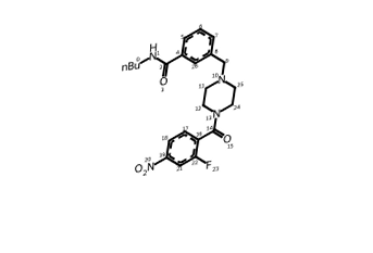 CCCCNC(=O)c1cccc(CN2CCN(C(=O)c3ccc([N+](=O)[O-])cc3F)CC2)c1